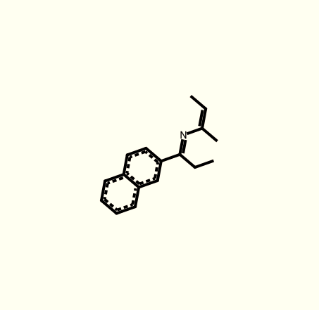 C/C=C(C)\N=C(/CC)c1ccc2ccccc2c1